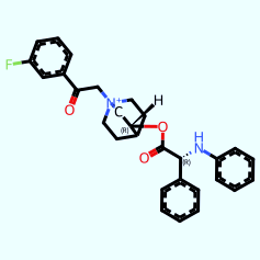 O=C(C[N+]12CCC(CC1)[C@@H](OC(=O)[C@H](Nc1ccccc1)c1ccccc1)C2)c1cccc(F)c1